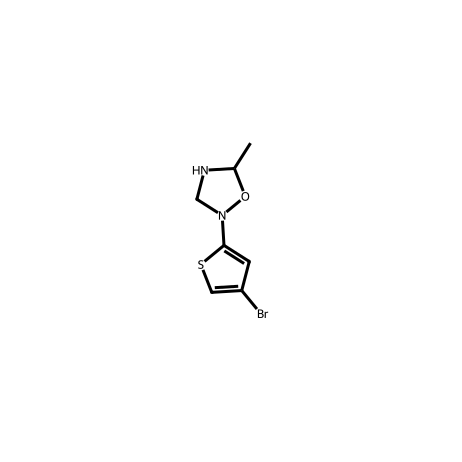 CC1NCN(c2cc(Br)cs2)O1